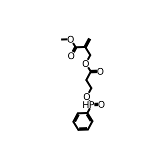 C=C(COC(=O)CCO[PH](=O)c1ccccc1)C(=O)OC